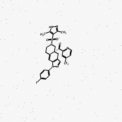 Cc1n[nH]c(C)c1S(=O)(=O)N1CCC2=Cc3c(cnn3-c3ccc(F)cc3)C[C@]2(C(=O)c2cc(C(F)(F)F)ccn2)C1